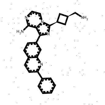 NC[C@H]1C[C@@H](c2nc(-c3ccc4ccc(-c5ccccc5)nc4c3)c3c(N)nccn32)C1